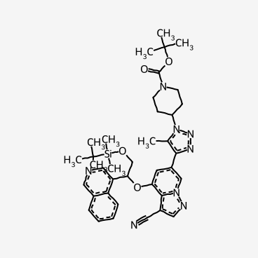 Cc1c(-c2cc(OC(CO[Si](C)(C)C(C)(C)C)c3cncc4ccccc34)c3c(C#N)cnn3c2)nnn1C1CCN(C(=O)OC(C)(C)C)CC1